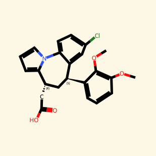 COc1cccc([C@H]2C[C@H](CC(=O)O)c3cccn3-c3ccc(Cl)cc32)c1OC